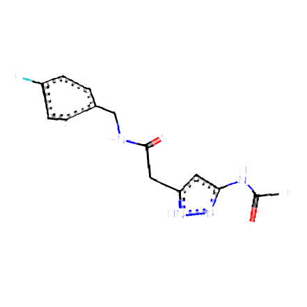 O=C(Cc1cc(NC(=O)C(F)(F)F)n[nH]1)NCc1ccc(F)cc1